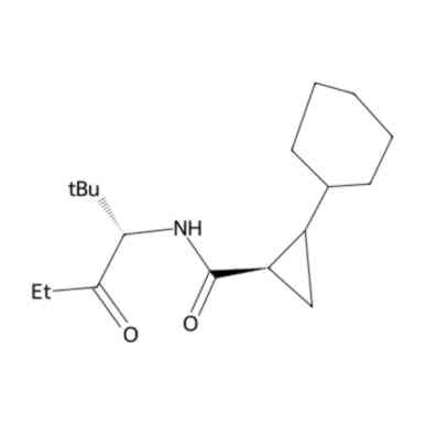 CCC(=O)[C@@H](NC(=O)[C@@H]1CC1C1CCCCC1)C(C)(C)C